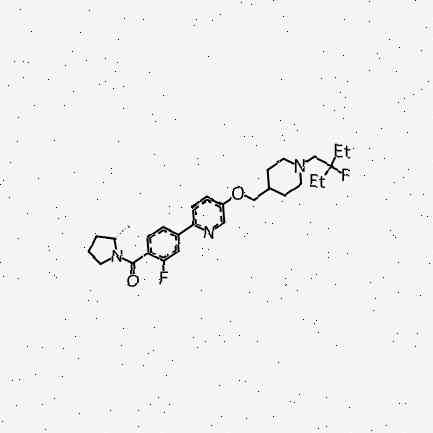 CCC(F)(CC)CN1CCC(COc2ccc(-c3ccc(C(=O)N4CCC[C@@H]4C)c(F)c3)nc2)CC1